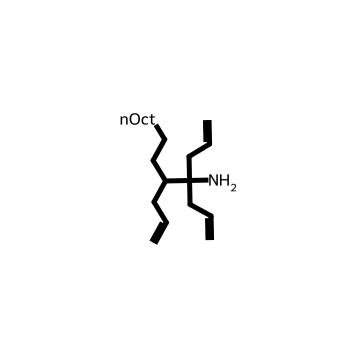 C=CCC(CCCCCCCCCC)C(N)(CC=C)CC=C